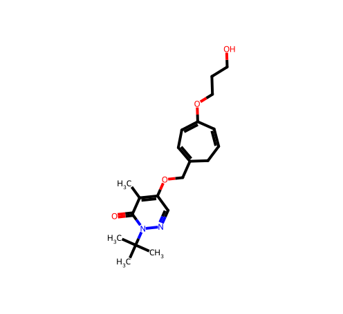 Cc1c(OCC2=CC=C(OCCCO)C=CC2)cnn(C(C)(C)C)c1=O